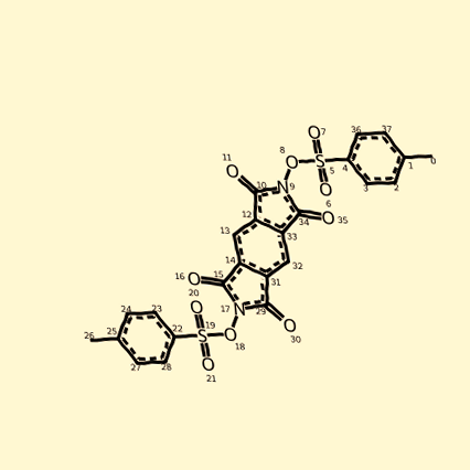 Cc1ccc(S(=O)(=O)On2c(=O)c3cc4c(=O)n(OS(=O)(=O)c5ccc(C)cc5)c(=O)c4cc3c2=O)cc1